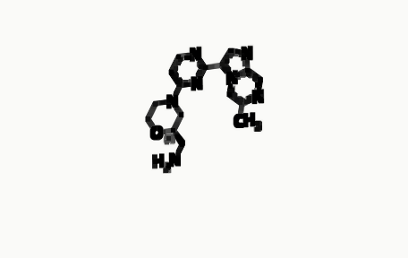 Cc1cn2c(-c3nccc(N4CCO[C@H](CN)C4)n3)cnc2cn1